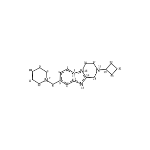 c1cc2c(cc1CN1CCCCC1)nc1n2CCN(C2CCC2)C1